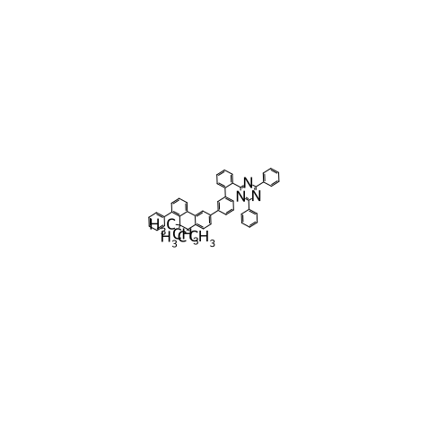 CC1(C)c2ccc(-c3cccc(-c4ccccc4-c4nc(-c5ccccc5)nc(-c5ccccc5)n4)c3)cc2-c2cccc(-c3ccccc3)c2C1(C)C